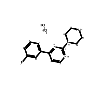 Cl.Cl.Fc1cccc(-c2ccnc(N3CCNCC3)n2)c1